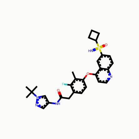 Cc1c(Oc2ccnc3ccc(S(=N)(=O)C4CCC4)cc23)ccc(CC(=O)Nc2cnn(C(C)(C)C)c2)c1F